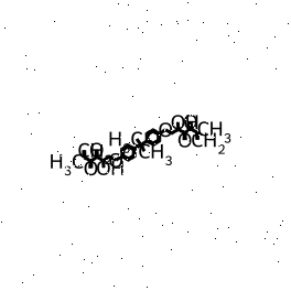 C=C(C)C(=O)C(=O)C(O)COc1ccc(C(C)(C)c2ccc(OCC(O)C(=O)C(=O)C(=C)C)cc2)cc1